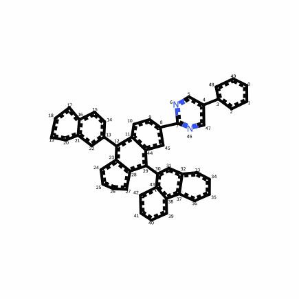 c1ccc(-c2cnc(-c3ccc4c(-c5ccc6ccccc6c5)c5ccccc5c(-c5cc6ccccc6c6ccccc56)c4c3)nc2)cc1